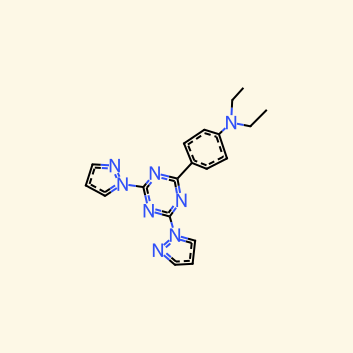 CCN(CC)c1ccc(-c2nc(-n3cccn3)nc(-n3cccn3)n2)cc1